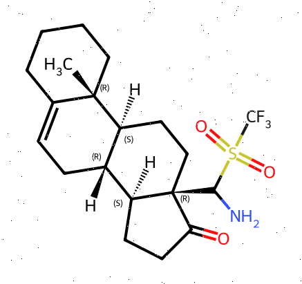 C[C@]12CCCCC1=CC[C@@H]1[C@@H]2CC[C@]2(C(N)S(=O)(=O)C(F)(F)F)C(=O)CC[C@@H]12